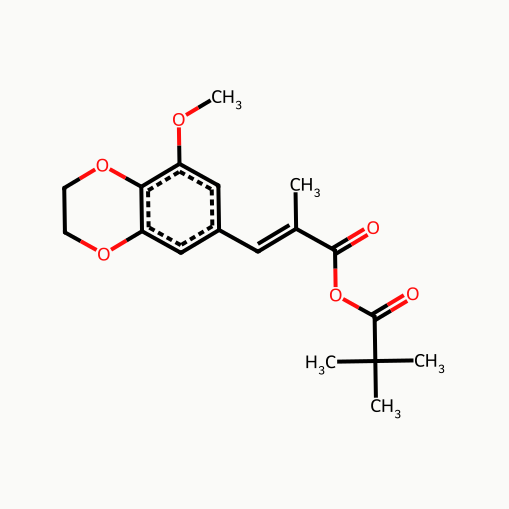 COc1cc(/C=C(\C)C(=O)OC(=O)C(C)(C)C)cc2c1OCCO2